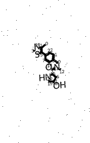 Cc1ncsc1-c1ccc(CN(C)C(=O)[C@@H]2C[C@@H](O)CN2)cc1